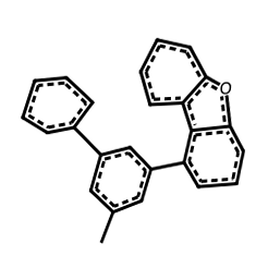 Cc1cc(-c2ccccc2)cc(-c2cccc3oc4ccccc4c23)c1